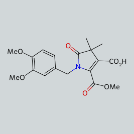 COC(=O)C1=C(C(=O)O)C(C)(C)C(=O)N1Cc1ccc(OC)c(OC)c1